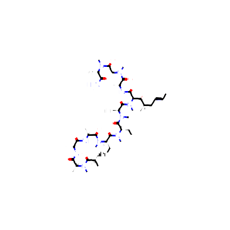 C/C=C/C[C@@H](C)[C@H](O)C(C(=O)N[C@H](CC)C(=O)N(C)CC(=O)N(C)[C@H](C(N)=O)C(C)CC)N(C)C(=O)[C@H](C(C)C)N(C)C(=O)[C@@H](CC(C)C)N(C)C(=O)[C@@H](CC(C)C)N(C)C(=O)[C@H](C)NC(=O)[C@@H](C)NC(=O)[C@H](C)N(C)C(=O)[C@H](C)C(C)C